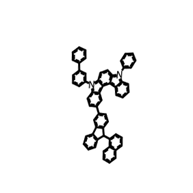 c1ccc(-c2cccc(-n3c4ccc(-c5ccc6c(c5)-c5ccccc5C6c5cccc6ccccc56)cc4c4c5c6ccccc6n(-c6ccccc6)c5ccc43)c2)cc1